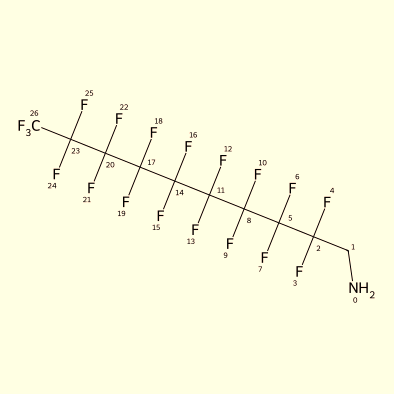 NCC(F)(F)C(F)(F)C(F)(F)C(F)(F)C(F)(F)C(F)(F)C(F)(F)C(F)(F)C(F)(F)F